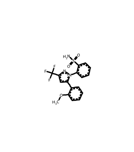 COc1ccccc1-c1cc(C(F)(F)F)nn1-c1ccccc1S(N)(=O)=O